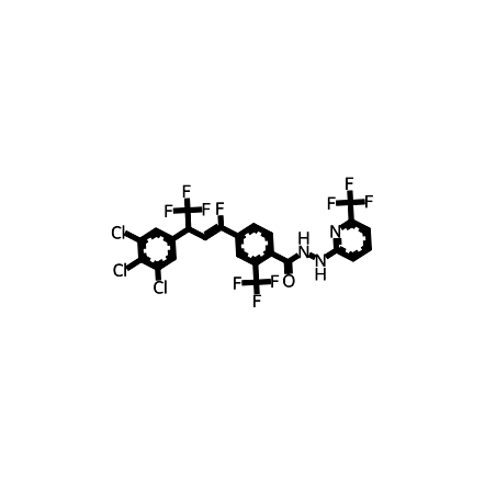 O=C(NNc1cccc(C(F)(F)F)n1)c1ccc(/C(F)=C/C(c2cc(Cl)c(Cl)c(Cl)c2)C(F)(F)F)cc1C(F)(F)F